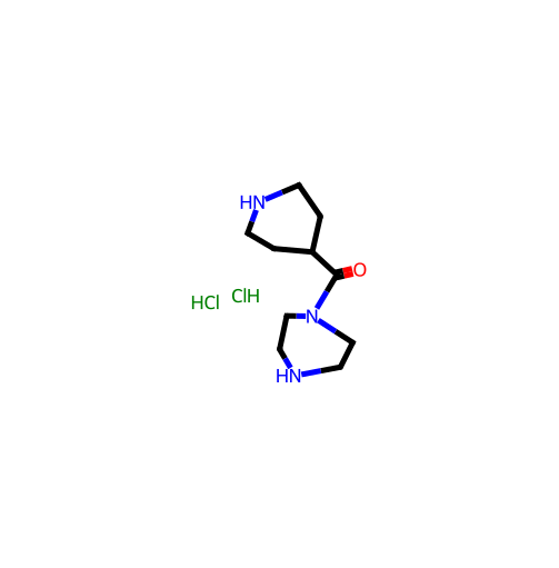 Cl.Cl.O=C(C1CCNCC1)N1CCNCC1